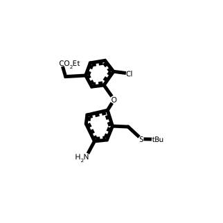 CCOC(=O)Cc1ccc(Cl)c(Oc2ccc(N)cc2CSC(C)(C)C)c1